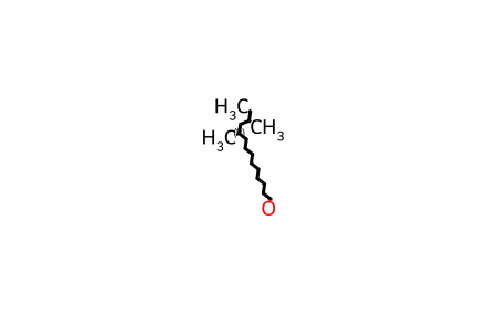 CCC(C)C[C@H](C)CCCCCCCCC=O